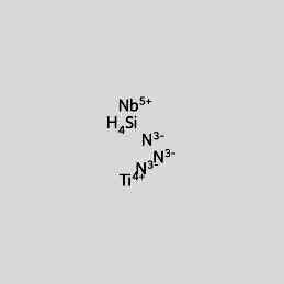 [N-3].[N-3].[N-3].[Nb+5].[SiH4].[Ti+4]